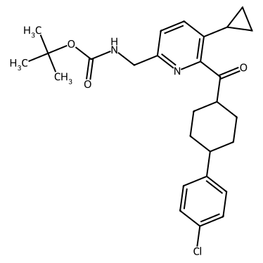 CC(C)(C)OC(=O)NCc1ccc(C2CC2)c(C(=O)C2CCC(c3ccc(Cl)cc3)CC2)n1